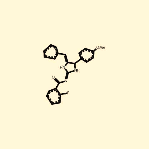 COc1ccc(C2N/C(=N/C(=O)c3ccccc3F)N/C2=C\c2ccccc2)cc1